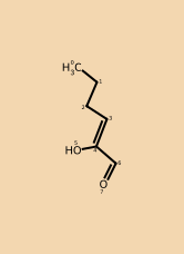 CCC/C=C(\O)C=O